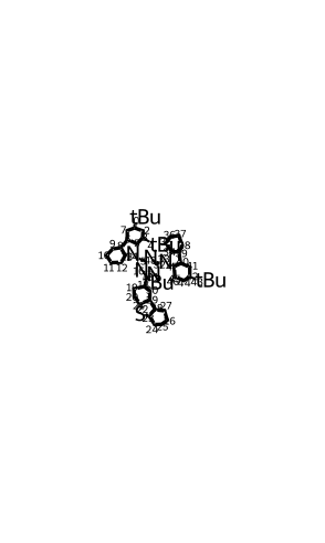 CC(C)(C)c1cc(C(C)(C)C)c2c(c1)c1ccccc1n2-c1nc(-c2ccc3sc4ccccc4c3c2)nc(-n2c3ccccc3c3cc(C(C)(C)C)cc(C(C)(C)C)c32)n1